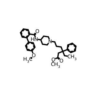 CCC(CCCN1CCC(NC(=O)c2ccccc2-c2ccc(OC)cc2)CC1)(CC(=O)OC)c1ccccc1